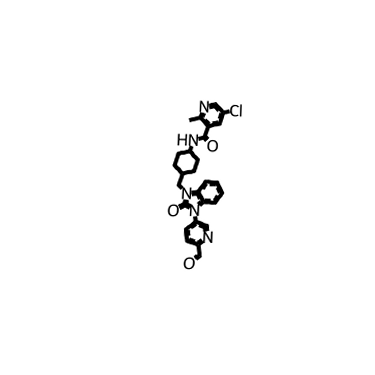 Cc1ncc(Cl)cc1C(=O)NC1CCC(Cn2c(=O)n(-c3ccc(C=O)nc3)c3ccccc32)CC1